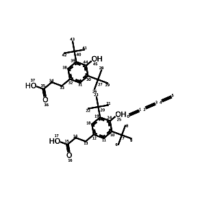 C=C.C=C.C=C.CC(C)(C)c1cc(CCC(=O)O)cc(C(C)(C)C)c1O.CC(C)(C)c1cc(CCC(=O)O)cc(C(C)(C)C)c1O